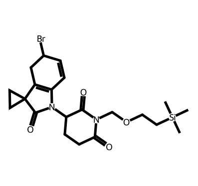 C[Si](C)(C)CCOCN1C(=O)CCC(N2C(=O)C3(CC3)C3=C2C=CC(Br)C3)C1=O